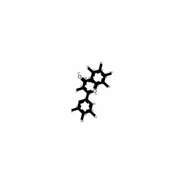 Cc1cc(-c2oc3c(C)c(C)c(C)c(C)c3c(=O)c2C)cc(C)c1C